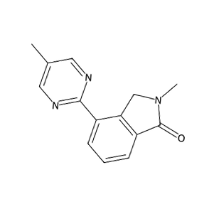 Cc1cnc(-c2cccc3c2CN(C)C3=O)nc1